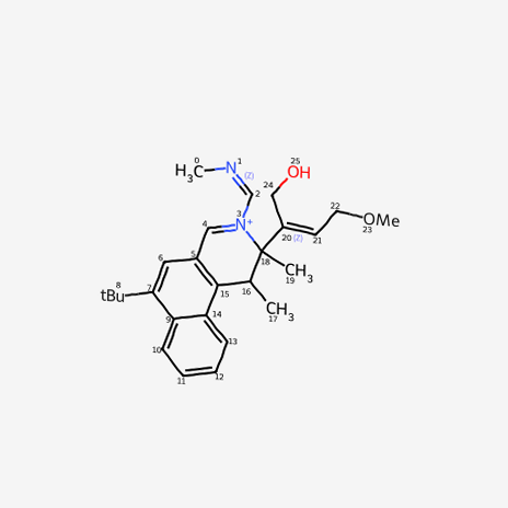 C/N=C\[N+]1=Cc2cc(C(C)(C)C)c3ccccc3c2C(C)C1(C)/C(=C/COC)CO